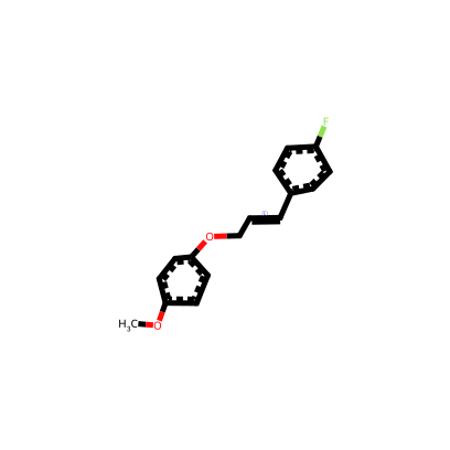 COc1ccc(OC/C=C/c2ccc(F)cc2)cc1